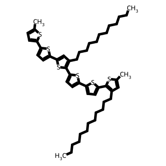 CCCCCCCCCCCCc1cc(C)sc1-c1ccc(-c2ccc(-c3sc(-c4ccc(-c5ccc(C)s5)s4)cc3CCCCCCCCCCCC)s2)s1